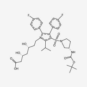 CC(C)c1c(S(=O)(=O)N2CC[C@H](NC(=O)OC(C)(C)C)C2)c(-c2ccc(F)cc2)c(-c2ccc(F)cc2)n1CC[C@@H](O)C[C@@H](O)CC(=O)O